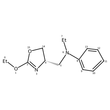 CCOC1=N[C@@H](CN(CC)c2ccccc2)CO1